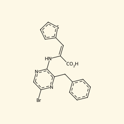 O=C(O)/C(=C/c1cccs1)Nc1ncc(Br)nc1Cc1ccccc1